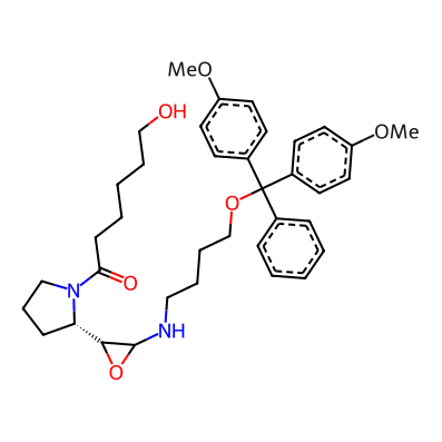 COc1ccc(C(OCCCCNC2OC2[C@@H]2CCCN2C(=O)CCCCCO)(c2ccccc2)c2ccc(OC)cc2)cc1